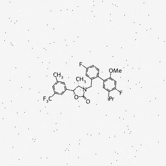 COc1cc(F)c(C(C)C)cc1-c1ccc(F)cc1CN1C(=O)OC(c2cc(C)cc(C(F)(F)F)c2)[C@@H]1C